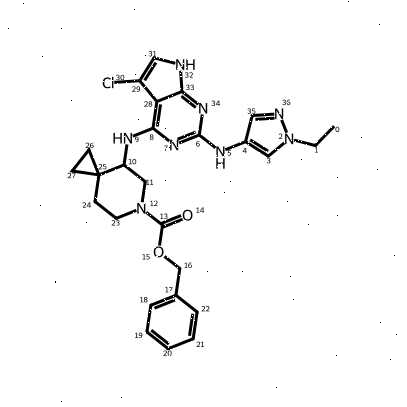 CCn1cc(Nc2nc(NC3CN(C(=O)OCc4ccccc4)CCC34CC4)c3c(Cl)c[nH]c3n2)cn1